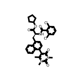 Cc1c(-c2ccc(C[C@H](NC(=O)c3c(Cl)cccc3Cl)C(=O)OC3CCCC3)c3ccccc23)c(=O)n(C)c(=O)n1C